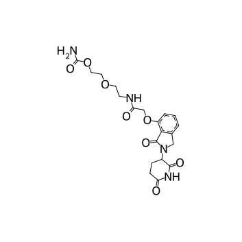 NC(=O)OCCOCCNC(=O)COc1cccc2c1C(=O)N(C1CCC(=O)NC1=O)C2